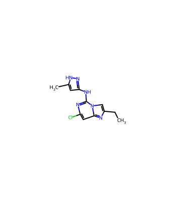 CCc1cn2c(Nc3cc(C)[nH]n3)nc(Cl)cc2n1